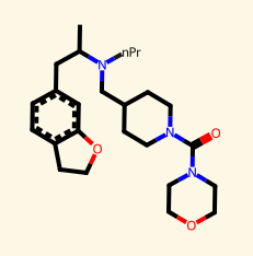 CCCN(CC1CCN(C(=O)N2CCOCC2)CC1)C(C)Cc1ccc2c(c1)OCC2